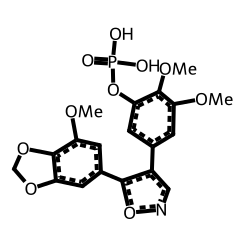 COc1cc(-c2cnoc2-c2cc(OC)c3c(c2)OCO3)cc(OP(=O)(O)O)c1OC